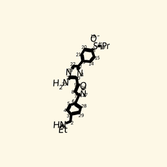 CCNCc1ccc(-c2cc(-c3nc(-c4ccc([S+]([O-])C(C)C)cc4)cnc3N)on2)cc1